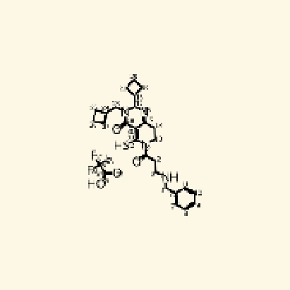 O=C(CCNCc1ccccc1)N1CCC2=NC(C3CCC3)N(CC3CCC3)C(=O)C2=C1S.O=C(O)C(F)(F)F